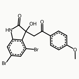 COc1ccc(C(=O)CC2(O)C(=O)Nc3cc(Br)cc(Br)c32)cc1